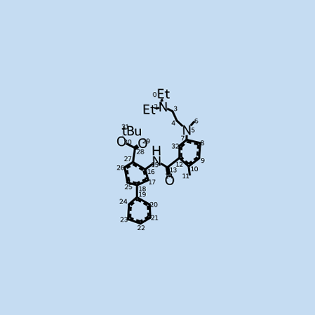 CCN(CC)CCN(C)c1ccc(C)c(C(=O)Nc2cc(-c3ccccc3)ccc2C(=O)OC(C)(C)C)c1